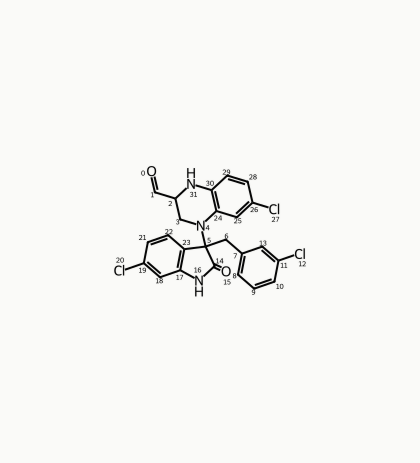 O=CC1CN(C2(Cc3cccc(Cl)c3)C(=O)Nc3cc(Cl)ccc32)c2cc(Cl)ccc2N1